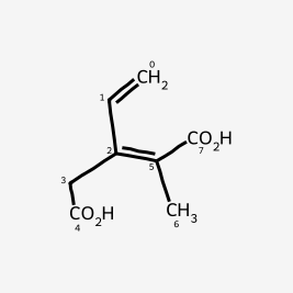 C=CC(CC(=O)O)=C(C)C(=O)O